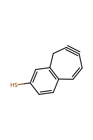 Sc1ccc2c(c1)CC#CC=C2